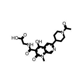 CC(=O)N1CCC(c2cc3c(O)c(C(=O)NCC(=O)O)c(=O)n(C)c3cn2)CC1